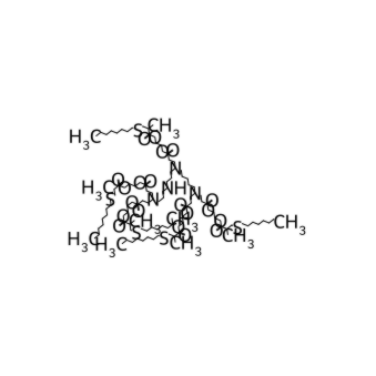 CCCCCCCCSCC(C)C(=O)OCCOC(=O)CCN(CCCCCN(CCC(=O)OCCOC(=O)C(C)CSCCCCCCCC)CCC(=O)OCCOC(=O)C(C)CSCCCCCCCC)CCCNCCCN(CCC(=O)OCCOC(=O)C(C)CSCCCCCCCC)CCC(=O)OCCOC(=O)C(C)CSCCCCCCCC